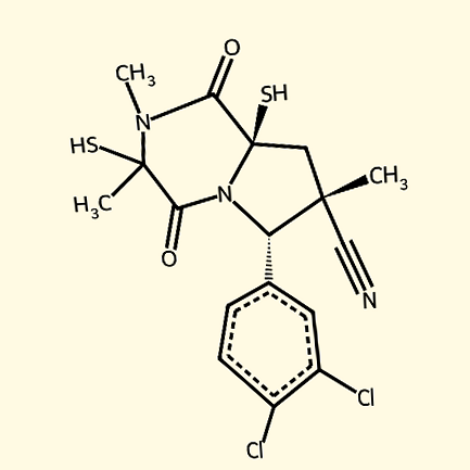 CN1C(=O)[C@]2(S)C[C@](C)(C#N)[C@H](c3ccc(Cl)c(Cl)c3)N2C(=O)C1(C)S